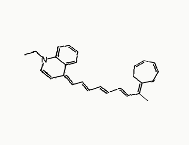 CCN1C=C/C(=C/C=C/C=C/C=C/C(C)=C2CC=CC=CC2)c2ccccc21